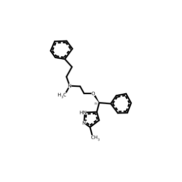 Cc1cc([C@@H](OCCN(C)CCc2ccccc2)c2ccccc2)[nH]n1